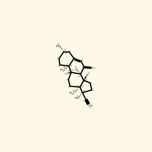 C#C[C@]1(O)CC[C@H]2[C@@H]3C(=O)C=C4C[C@@H](O)CC[C@]4(C)[C@H]3CC[C@@]21C